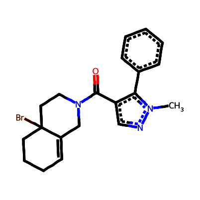 Cn1ncc(C(=O)N2CCC3(Br)CCCC=C3C2)c1-c1ccccc1